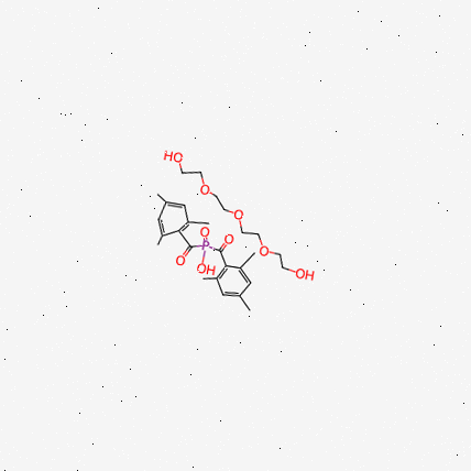 Cc1cc(C)c(C(=O)P(=O)(O)C(=O)c2c(C)cc(C)cc2C)c(C)c1.OCCOCCOCCOCCO